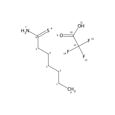 CCCCCCC(N)=S.O=C(O)C(F)(F)F